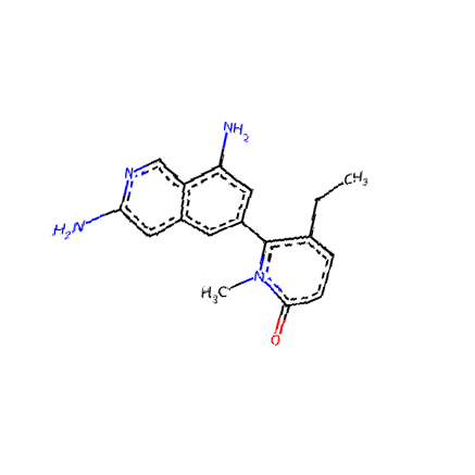 CCc1ccc(=O)n(C)c1-c1cc(N)c2cnc(N)cc2c1